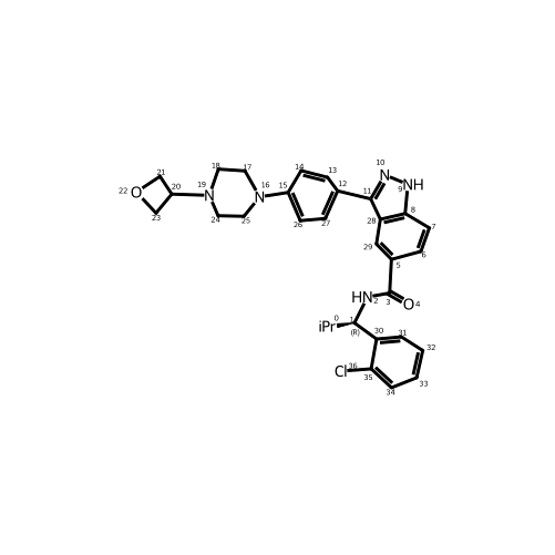 CC(C)[C@@H](NC(=O)c1ccc2[nH]nc(-c3ccc(N4CCN(C5COC5)CC4)cc3)c2c1)c1ccccc1Cl